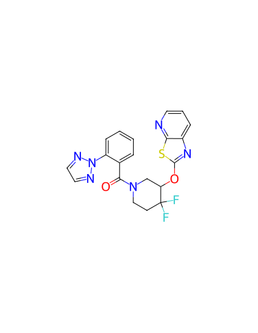 O=C(c1ccccc1-n1nccn1)N1CCC(F)(F)C(Oc2nc3cccnc3s2)C1